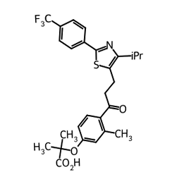 Cc1cc(OC(C)(C)C(=O)O)ccc1C(=O)CCc1sc(-c2ccc(C(F)(F)F)cc2)nc1C(C)C